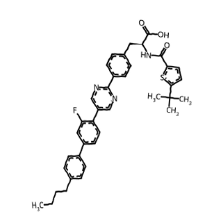 CCCCc1ccc(-c2ccc(-c3cnc(-c4ccc(C[C@H](NC(=O)c5ccc(C(C)(C)C)s5)C(=O)O)cc4)nc3)c(F)c2)cc1